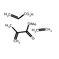 C=C.C=C(C)C(=O)OC.C=CC(=O)O